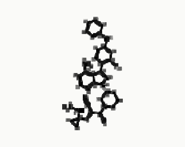 CNC1(C=C(C#N)C(=O)N2CCC[C@@H](n3nc(-c4ccc(Oc5ccccc5)cc4F)c4c(N)ncnc43)C2)CC1